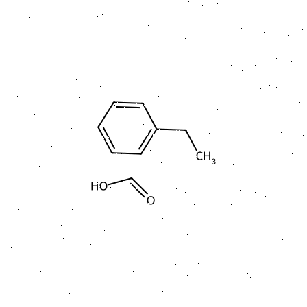 CCc1ccccc1.O=CO